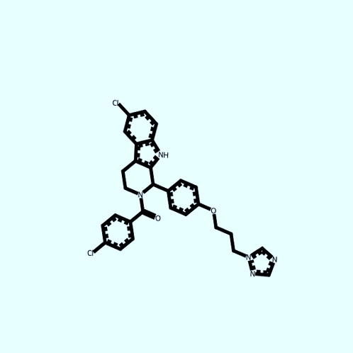 O=C(c1ccc(Cl)cc1)N1CCc2c([nH]c3ccc(Cl)cc23)C1c1ccc(OCCCn2cncn2)cc1